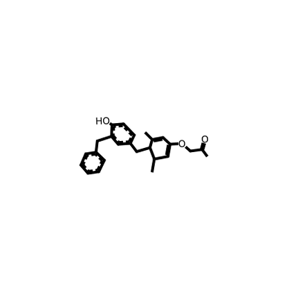 CC(=O)COC1=CC(C)C(Cc2ccc(O)c(Cc3ccccc3)c2)C(C)=C1